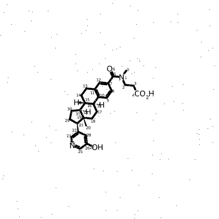 CN(CCC(=O)O)C(=O)c1ccc2c(c1)CC[C@@H]1[C@@H]2CC[C@]2(C)[C@@H](c3cncc(O)c3)CC[C@@H]12